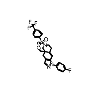 O=CC12Cc3cnn(-c4ccc(F)cc4)c3C=C1CCN(S(=O)(=O)c1ccc(C(F)(F)F)cc1)C2